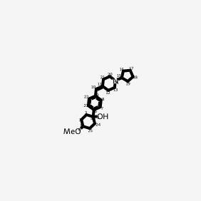 COC1CCC(O)(c2ccc(C=C3CCN(C4CCCC4)CC3)cc2)CC1